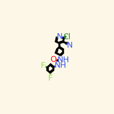 N#Cc1c(-c2ccc(NC(=O)Nc3cc(F)cc(F)c3)cc2)ccnc1Cl